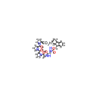 C[C@H](NC(=O)CNC(=O)OCC1c2ccccc2-c2ccccc21)C(=O)N1CCC[C@H]1C(=O)N1CCC[C@H]1C(=O)N1CCC[C@H]1C(=O)O